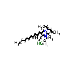 CC=CC(CC)N(CCCCCCCCCCCC)C(C)N(CC)CC.Cl